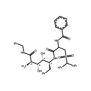 CCCC(CCC)S(=O)(=O)CC(NC(=O)c1cccnc1)C(=O)N[C@@H](CC(C)C)[C@@H](O)[C@H](O)[C@@H](C)C(=O)NCC(C)C